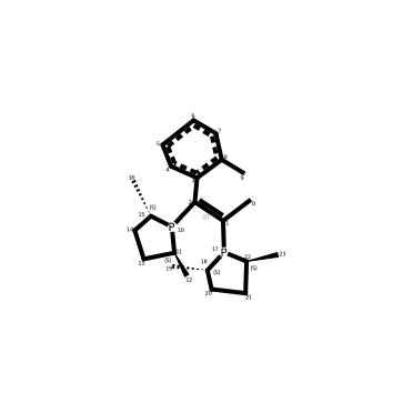 C/C(=C(\c1ccccc1C)P1[C@@H](C)CC[C@@H]1C)P1[C@@H](C)CC[C@@H]1C